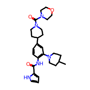 CC1CCN(c2cc(C3CCN(C(=O)N4CCOCC4)CC3)ccc2NC(=O)c2ccc[nH]2)CC1